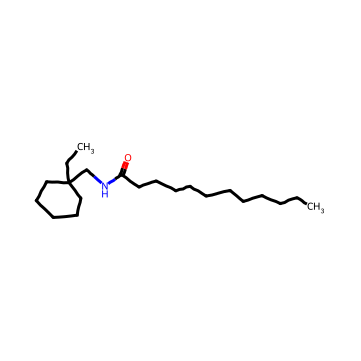 CCCCCCCCCCCC(=O)NCC1(CC)CCCCC1